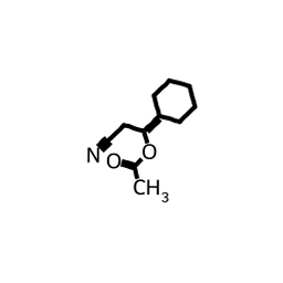 CC(=O)OC(CC#N)=C1CCCCC1